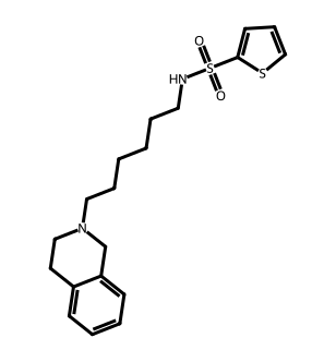 O=S(=O)(NCCCCCCN1CCc2ccccc2C1)c1cccs1